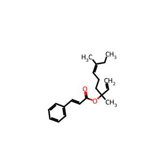 C=CC(C)(CC/C=C(/C)CC)OC(=O)/C=C/c1ccccc1